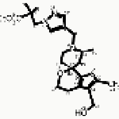 CCOC(=O)C(C)(C)Cn1cc(CN2CC[C@]3(C[C@@H]2C)OCCc2c3sc(C(F)(F)F)c2CO)cn1